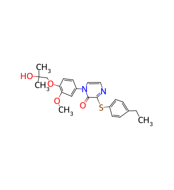 CCc1ccc(Sc2nccn(-c3ccc(OCC(C)(C)O)c(OC)c3)c2=O)cc1